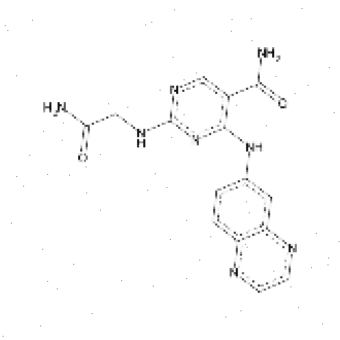 NC(=O)CNc1ncc(C(N)=O)c(Nc2ccc3nccnc3c2)n1